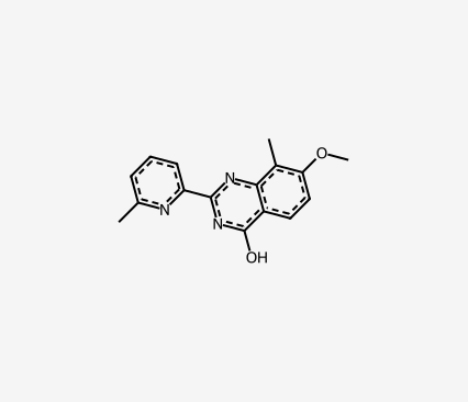 COc1ccc2c(O)nc(-c3cccc(C)n3)nc2c1C